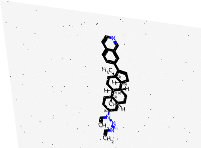 C=C/N=N\N(C=C)[C@H]1CC[C@@]2(C)[C@@H](CC[C@@H]3[C@@H]2CC[C@]2(C)C(c4ccc5ccncc5c4)=CC[C@@H]32)C1